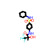 CC(O)(C(=O)Nc1ccc(S(=O)(=O)Nc2ccccc2)cc1)C(F)(F)F